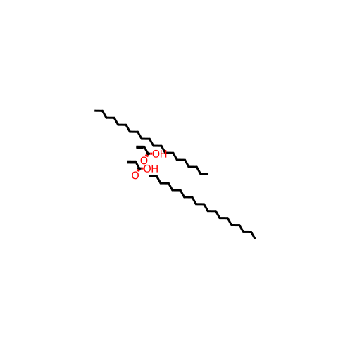 C=CC(=O)O.C=CC(=O)O.CCCCCCCCCCCCCCCCCCC.CCCCCCCCCCCCCCCCCCCC